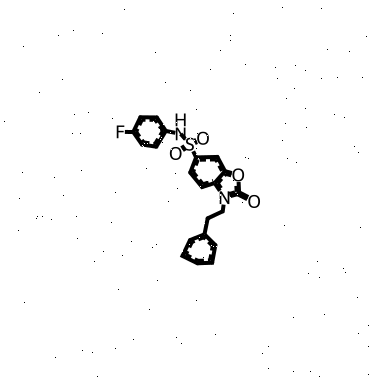 O=c1oc2cc(S(=O)(=O)Nc3ccc(F)cc3)ccc2n1CCc1ccccc1